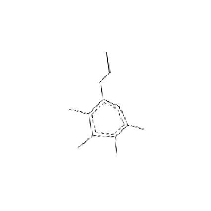 CC[CH]c1cc(C)c(C)c(C)c1C